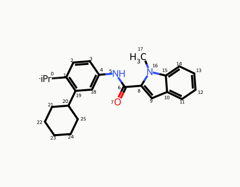 C[C](C)c1ccc(NC(=O)c2cc3ccccc3n2C)cc1C1CCCCC1